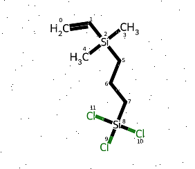 C=C[Si](C)(C)CCC[Si](Cl)(Cl)Cl